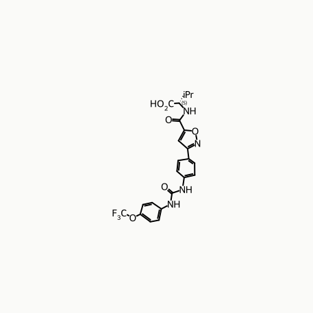 CC(C)[C@H](NC(=O)c1cc(-c2ccc(NC(=O)Nc3ccc(OC(F)(F)F)cc3)cc2)no1)C(=O)O